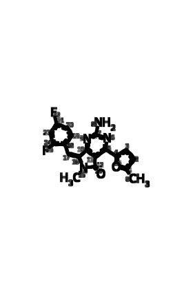 Cc1ccc(-c2nc(N)nc3c2C(=O)N(C)/C3=C/c2ccc(F)cc2F)o1